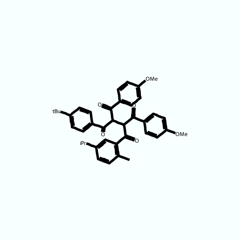 COc1ccc(C(=O)C(C(=O)c2ccc(C(C)(C)C)cc2)C(C(=O)c2ccc(OC)cc2)C(=O)c2cc(C(C)C)ccc2C)cc1